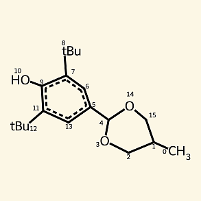 CC1COC(c2cc(C(C)(C)C)c(O)c(C(C)(C)C)c2)OC1